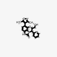 Cc1noc(C)c1-c1ccc2[nH]c(=O)n3c2c1OC(CO)C3c1ccccn1